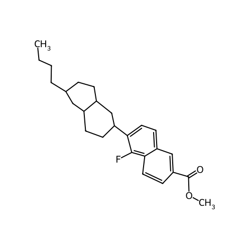 CCCCC1CCC2CC(c3ccc4cc(C(=O)OC)ccc4c3F)CCC2C1